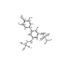 Cc1c(NS(=O)(=O)C(C)C)nc(OCC(F)(F)F)nc1-c1cc(C)c(=O)n(C)c1